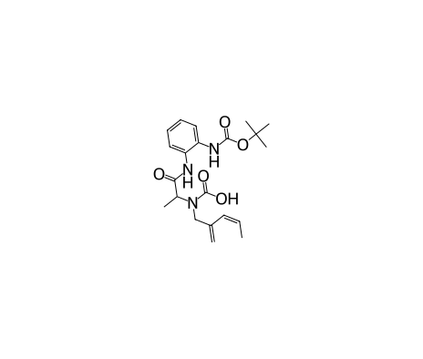 C=C(/C=C\C)CN(C(=O)O)C(C)C(=O)Nc1ccccc1NC(=O)OC(C)(C)C